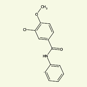 COc1ccc(C(=O)Nc2[c]cccc2)cc1Cl